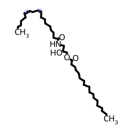 CCCCC/C=C\C/C=C\CCCCCCCC(=O)NCC(O)COC(=O)CCCCCCCCCCCCCCCCC